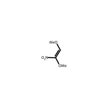 CO[C]=C(OC)[N+](=O)[O-]